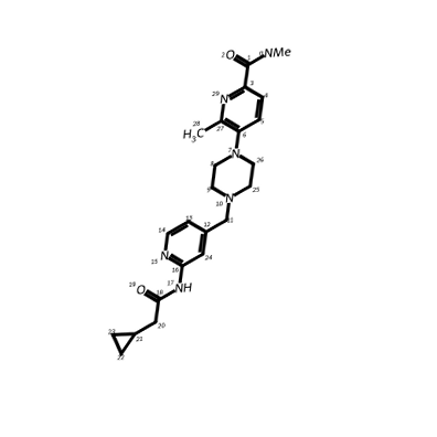 CNC(=O)c1ccc(N2CCN(Cc3ccnc(NC(=O)CC4CC4)c3)CC2)c(C)n1